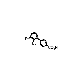 CCc1cccc(-c2ccc(C(=O)O)cc2)c1CC